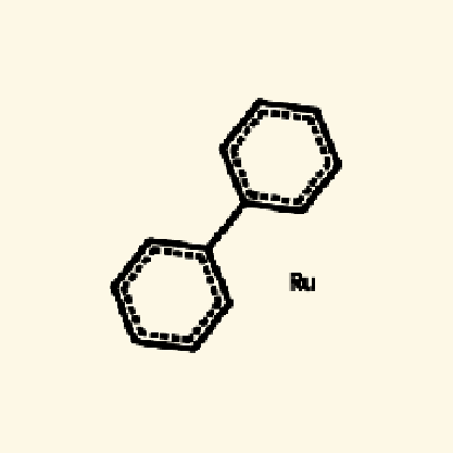 [Ru].c1ccc(-c2ccccc2)cc1